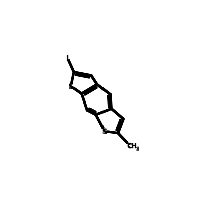 Cc1cc2cc3cc(I)sc3cc2s1